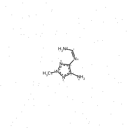 Cn1nc(N)c(/N=C\N)n1